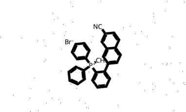 C[P+](c1ccccc1)(c1ccccc1)c1ccccc1-c1ccc2ccc(C#N)cc2c1.[Br-]